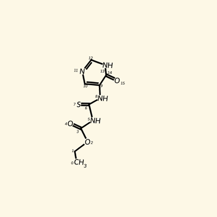 CCOC(=O)NC(=S)Nc1cnc[nH]c1=O